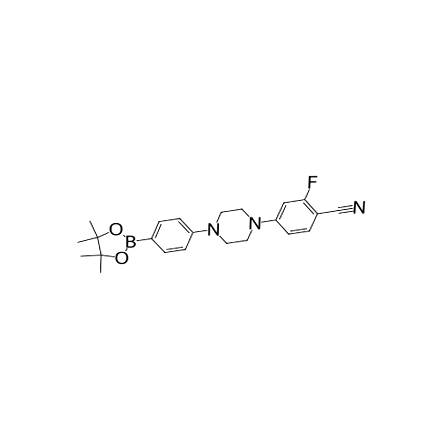 CC1(C)OB(c2ccc(N3CCN(c4ccc(C#N)c(F)c4)CC3)cc2)OC1(C)C